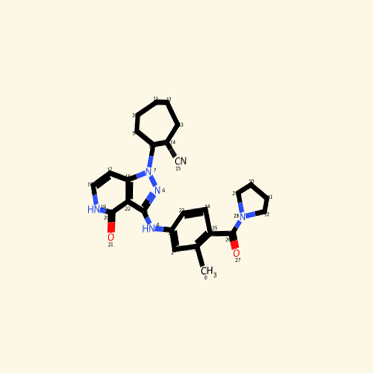 Cc1cc(Nc2nn(C3CCCCCC3C#N)c3cc[nH]c(=O)c23)ccc1C(=O)N1CCCC1